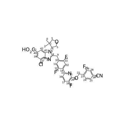 CC1(C)COCC1n1c(Cc2cc(F)c(-c3ccc(F)c(OCc4ccc(C#N)cc4F)n3)cc2F)nc2c(Cl)cc(C(=O)O)cc21